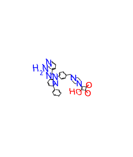 Nc1ncccc1-c1nc2ccc(-c3ccccc3)nc2n1-c1ccc(CN2CCN(c3c(O)c(=O)c3=O)CC2)cc1